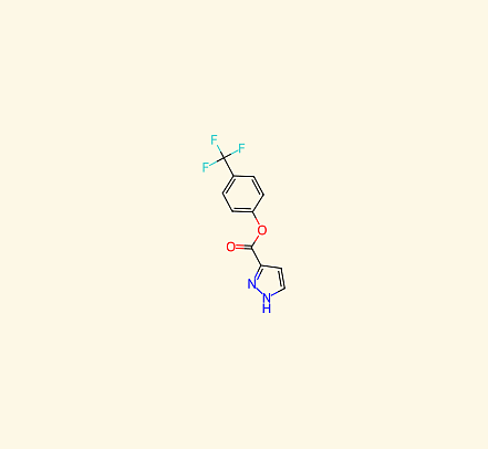 O=C(Oc1ccc(C(F)(F)F)cc1)c1cc[nH]n1